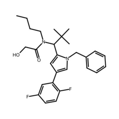 CCCCN(C(=O)CO)C(c1cc(-c2cc(F)ccc2F)cn1Cc1ccccc1)C(C)(C)C